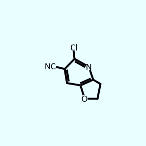 N#Cc1cc2c(nc1Cl)CCO2